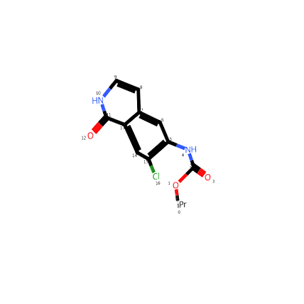 CC(C)OC(=O)Nc1cc2cc[nH]c(=O)c2cc1Cl